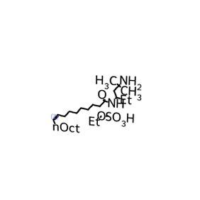 CCCCCCCC/C=C\CCCCCCCC(=O)NC(CC)CC(C)(C)N.CCOS(=O)(=O)O